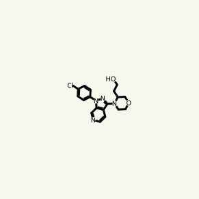 OCCC1COCCN1c1nn(-c2ccc(Cl)cc2)c2cnccc12